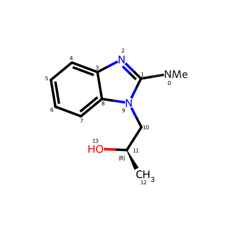 CNc1nc2ccccc2n1C[C@@H](C)O